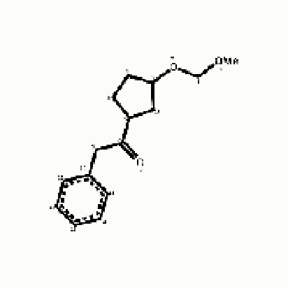 COCOC1CCC(C(=O)Cc2ccccc2)C1